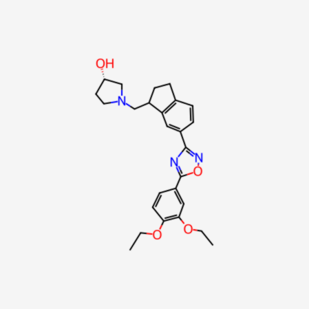 CCOc1ccc(-c2nc(-c3ccc4c(c3)C(CN3CC[C@H](O)C3)CC4)no2)cc1OCC